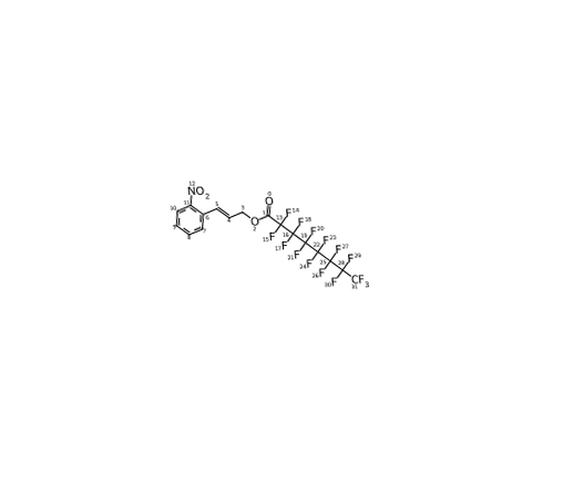 O=C(OC/C=C/c1ccccc1[N+](=O)[O-])C(F)(F)C(F)(F)C(F)(F)C(F)(F)C(F)(F)C(F)(F)C(F)(F)F